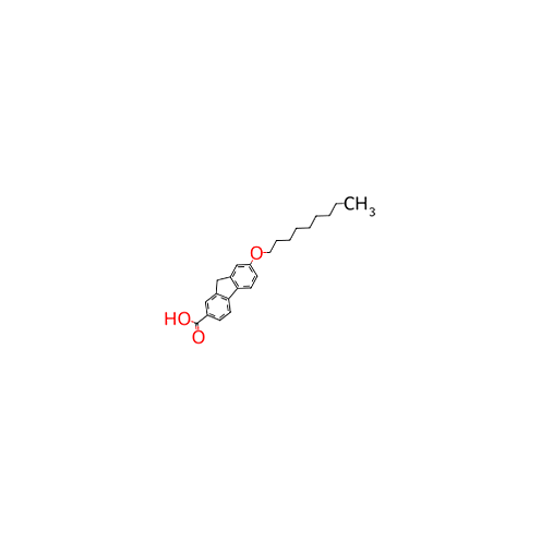 CCCCCCCCCOc1ccc2c(c1)Cc1cc(C(=O)O)ccc1-2